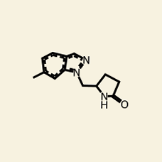 Cc1ccc2cnn(CC3CCC(=O)N3)c2c1